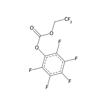 O=C(OCC(F)(F)F)Oc1c(F)c(F)c(F)c(F)c1F